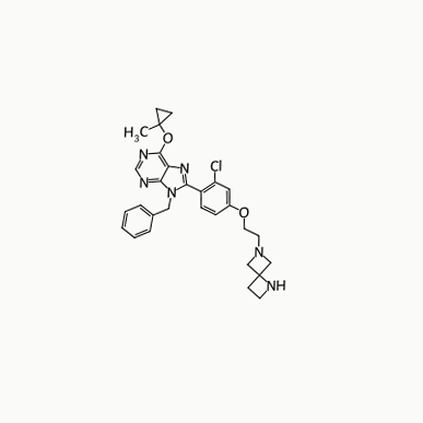 CC1(Oc2ncnc3c2nc(-c2ccc(OCCN4CC5(CCN5)C4)cc2Cl)n3Cc2ccccc2)CC1